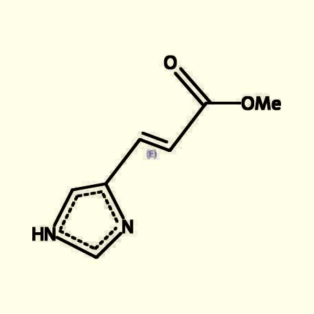 COC(=O)/C=C/c1c[nH]cn1